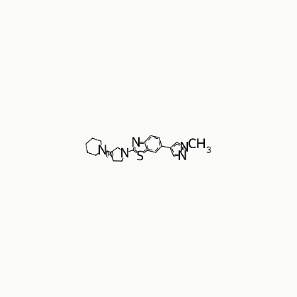 Cn1cc(-c2ccc3nc(N4CC[C@@H](N5CCCCC5)C4)sc3c2)cn1